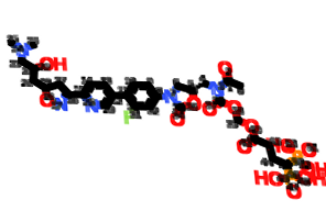 CC(=O)N(C[C@H]1CN(c2ccc(-c3ccc(C4=NOC(CC(O)CN(C)C)C4)nc3)c(F)c2)C(=O)O1)C(=O)OCOC(=O)CCC(P(=O)(O)O)P(=O)(O)O